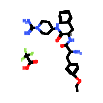 CCOc1ccc(CC(N)C(=O)N[C@H](Cc2ccccc2)C(=O)NC2CCN(C(=N)N)CC2)cc1.O=C(O)C(F)(F)F